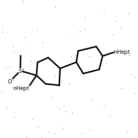 CCCCCCCC1CCC(C2CCC(CCCCCCC)([S+](C)[O-])CC2)CC1